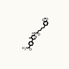 Cc1cc(NC(=O)CCCCc2ccc3c(c2)OCO3)ncc1-c1ccc(C(N)=O)cc1